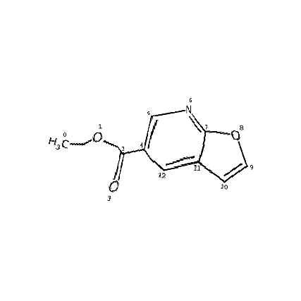 COC(=O)c1cnc2occc2c1